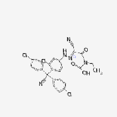 CCN(C(=O)O)C(=O)/C(C#N)=N/Nc1ccc(C(C#N)(c2ccc(Cl)cc2)c2ccc(Cl)cc2)c(Cl)c1